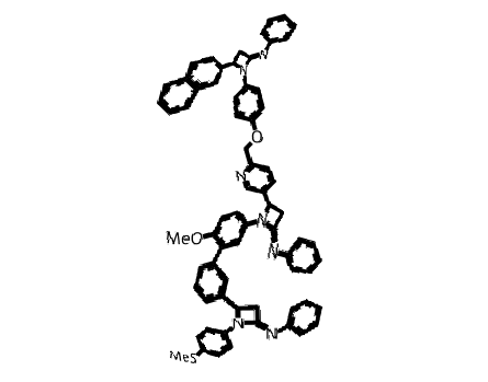 COc1ccc(N2/C(=N/c3ccccc3)CC2c2ccc(COc3ccc(N4/C(=N/c5ccccc5)CC4c4ccc5ccccc5c4)cc3)nc2)cc1-c1cccc(C2C/C(=N\c3ccccc3)N2c2ccc(SC)cc2)c1